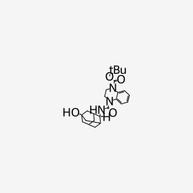 CC(C)(C)OC(=O)N1CCN(C(=O)N[C@H]2C3CC4CC2C[C@](O)(C4)C3)c2ccccc21